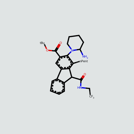 CCCCCc1c2c(cc(C(=O)OC(C)(C)C)c1N1CCCCC1N)-c1ccccc1C2C(=O)NCC(F)(F)F